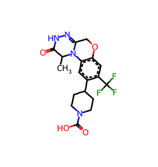 CC1C(=O)NN=C2COc3cc(C(F)(F)F)c(C4CCN(C(=O)O)CC4)cc3N21